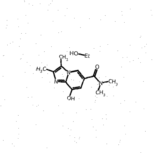 CCO.Cc1nc2c(O)cc(C(=O)N(C)C)cn2c1C